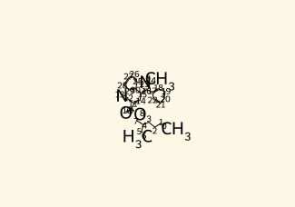 CCCCC(CC)COC(=O)/C(C#N)=C/c1c(-c2ccccc2)n(C)c2ccccc12